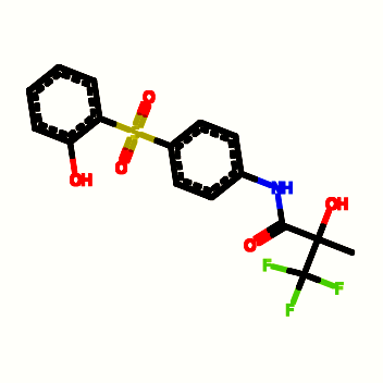 CC(O)(C(=O)Nc1ccc(S(=O)(=O)c2ccccc2O)cc1)C(F)(F)F